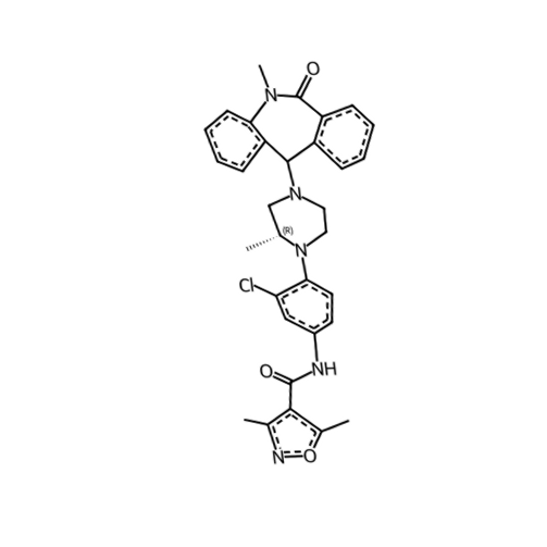 Cc1noc(C)c1C(=O)Nc1ccc(N2CCN(C3c4ccccc4C(=O)N(C)c4ccccc43)C[C@H]2C)c(Cl)c1